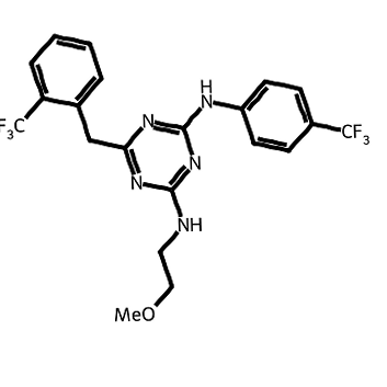 COCCNc1nc(Cc2ccccc2C(F)(F)F)nc(Nc2ccc(C(F)(F)F)cc2)n1